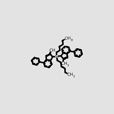 CCCCCC[Si](CCCCCC)(C1C(C)=Cc2c(-c3ccccc3)cccc21)C1C(C)=Cc2c(-c3ccccc3)cccc21